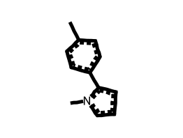 Cc1ccc(-c2cccn2C)cc1